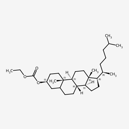 CCOC(=O)O[C@H]1CC[C@@]2(C)C(CC[C@H]3[C@@H]4CC[C@H]([C@H](C)CCCC(C)C)[C@@]4(C)CC[C@@H]32)C1